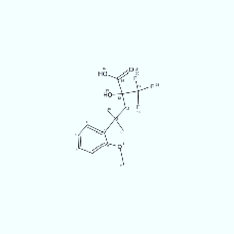 COc1ccccc1C(C)(C)CC(O)(C(=O)O)C(F)(F)F